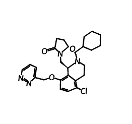 O=C1CCCN1C[C@@H]1c2c(OCc3cccnn3)ccc(Cl)c2CCN1C(=O)C1CCCCC1